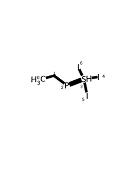 CCP=[SH](I)(I)I